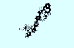 COC(=O)N[C@H]1CCc2cccc3c2N(C1=O)[C@H](c1nc(-c2ccc(-c4ncc(-c5cnc([C@@H]6CC(F)(F)CN6C(=O)OC(C)(C)C)[nH]5)cn4)cc2)c[nH]1)C3